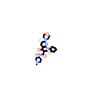 CN1CCC(NC(=O)c2c(=O)c3cc(F)c(N4CCOCC4)nc3n3c2sc2ccccc23)CC1